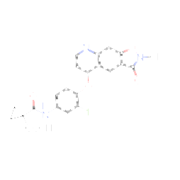 Cn1oc2cc3nccc(Oc4ccc(NC(=O)C5(C(=O)O)CC5)cc4F)c3cc2c1=O